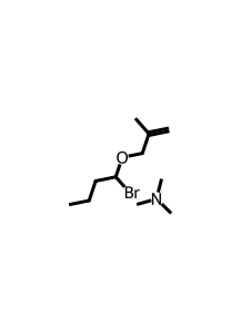 C=C(C)COC(Br)CCC.CN(C)C